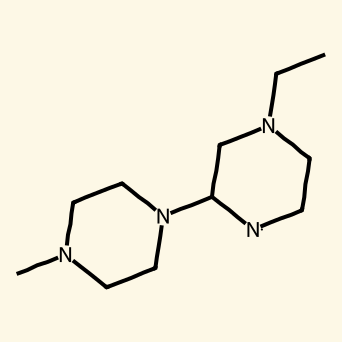 CCN1CC[N]C(N2CCN(C)CC2)C1